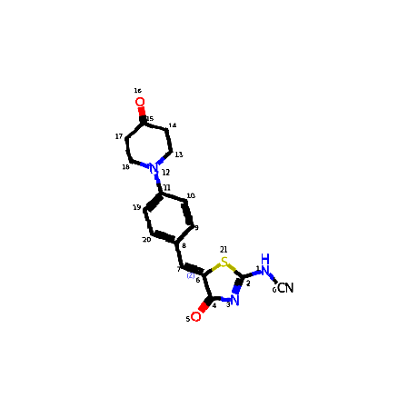 N#CNC1=NC(=O)/C(=C/c2ccc(N3CCC(=O)CC3)cc2)S1